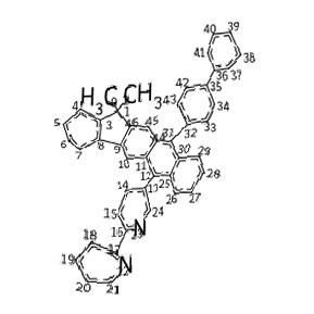 CC1(C)c2ccccc2-c2cc3c(-c4ccc(-c5ccccn5)nc4)c4ccccc4c(-c4ccc(-c5ccccc5)cc4)c3cc21